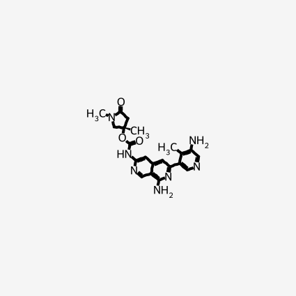 Cc1c(N)cncc1-c1cc2cc(NC(=O)O[C@@]3(C)CC(=O)N(C)C3)ncc2c(N)n1